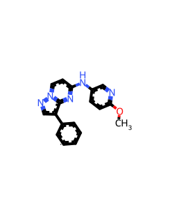 COc1ccc(Nc2ccn3ncc(-c4c[c]ccc4)c3n2)cn1